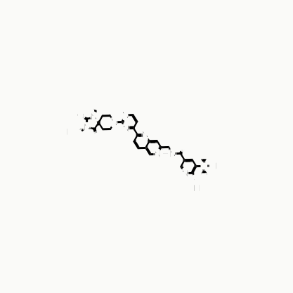 Cc1ncc(C(=O)NCc2cc3nc(-c4ccnc(N5CCC6(CC5)C(=O)N(C)C(=O)N6C)n4)ccc3cn2)cc1S(C)(=O)=O